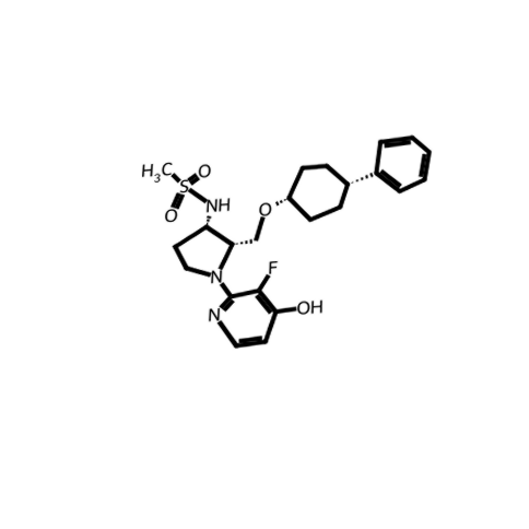 CS(=O)(=O)N[C@H]1CCN(c2nccc(O)c2F)[C@H]1CO[C@H]1CC[C@@H](c2ccccc2)CC1